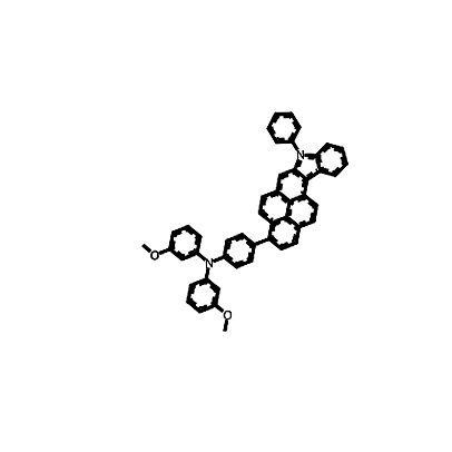 COc1cccc(N(c2ccc(-c3ccc4ccc5c6c(ccc3c46)cc3c5c4ccccc4n3-c3ccccc3)cc2)c2cccc(OC)c2)c1